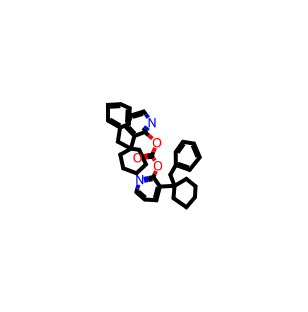 O=C(Oc1ncccc1C1(Cc2ccccc2)CCCCC1)Oc1ncccc1C1(Cc2ccccc2)CCCCC1